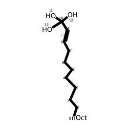 CCCCCCCCCCCCCCC/C=C/C(O)(O)O